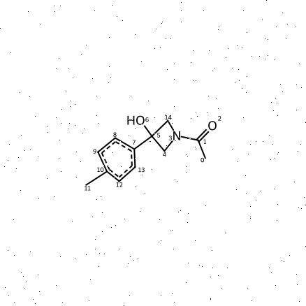 CC(=O)N1CC(O)(c2ccc(C)cc2)C1